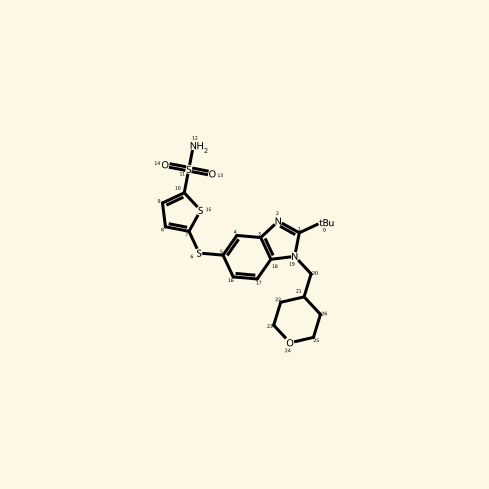 CC(C)(C)c1nc2cc(Sc3ccc(S(N)(=O)=O)s3)ccc2n1CC1CCOCC1